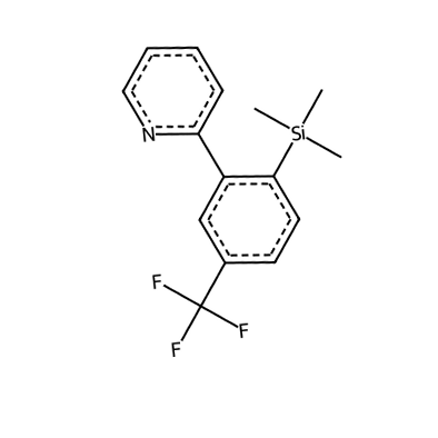 C[Si](C)(C)c1ccc(C(F)(F)F)cc1-c1ccccn1